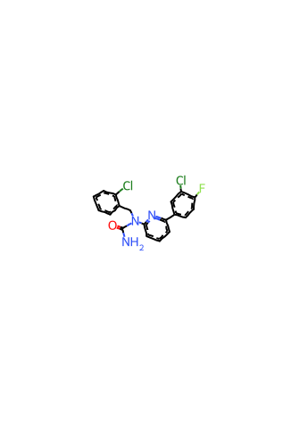 NC(=O)N(Cc1ccccc1Cl)c1cccc(-c2ccc(F)c(Cl)c2)n1